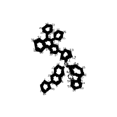 c1ccc(-c2ccc3cc(N(c4cccc(-c5ccc6c(c5)c(-c5ccccc5)c(-c5ccccc5)c5ccccc56)c4)c4cccc5c4oc4ccccc45)ccc3c2)cc1